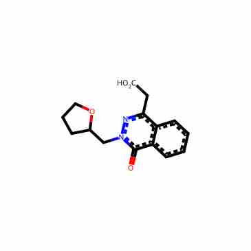 O=C(O)Cc1nn(CC2CCCO2)c(=O)c2ccccc12